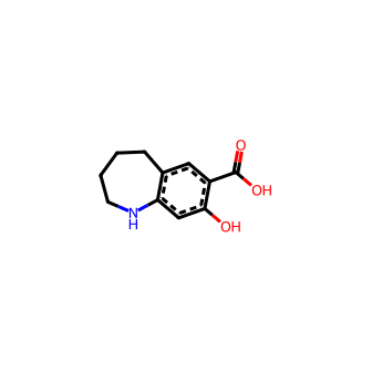 O=C(O)c1cc2c(cc1O)NCCCC2